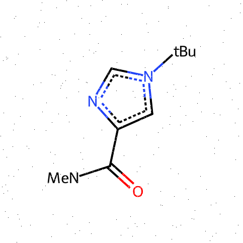 CNC(=O)c1cn(C(C)(C)C)cn1